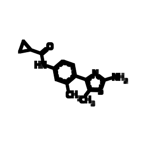 Cc1cc(NC(=O)C2CC2)ccc1-c1nc(N)sc1C